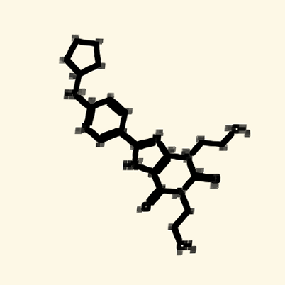 CCCn1c(=O)c2[nH]c(-c3ccc(NC4CCCC4)nc3)nc2n(CCC)c1=O